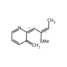 C=c1cccn/c1=C/C(=C\C)SC